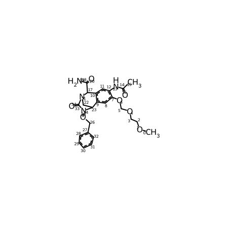 COCCOCOc1cc2c(cc1NC(C)=O)C(C(N)=O)N1CC2N(OCc2ccccc2)C1=O